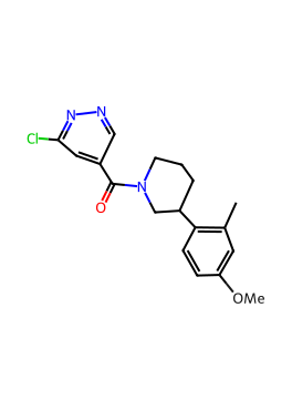 COc1ccc(C2CCCN(C(=O)c3cnnc(Cl)c3)C2)c(C)c1